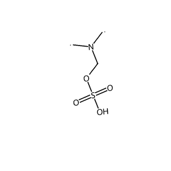 [CH2]N([CH2])COS(=O)(=O)O